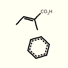 C/C=C(\C)C(=O)O.c1ccccc1